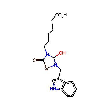 O=C(O)CCCCCN1C(=S)SN(Cc2c[nH]c3ccccc23)C1O